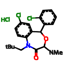 CNC1OC(c2ccccc2Cl)c2cc(Cl)ccc2N(CC(C)(C)C)C1=O.Cl